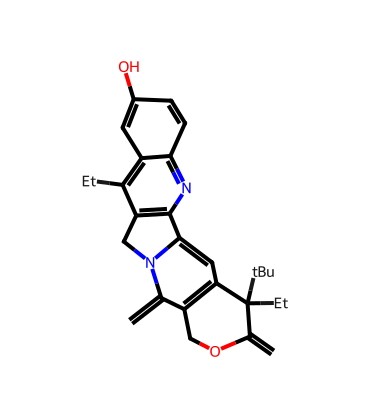 C=C1C2=C(C=C3c4nc5ccc(O)cc5c(CC)c4CN13)C(CC)(C(C)(C)C)C(=C)OC2